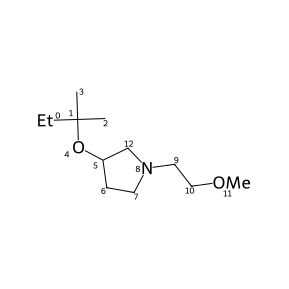 CCC(C)(C)OC1CCN(CCOC)C1